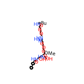 CCCCNC(=O)CCOCCOCCN/C=C(/COCCOCCO[C@@H](CC[C@H](C[C@H](O)CCNC(=O)Cc1ccc(-c2ccccc2)cc1)NC(=O)CO)OC)N=N